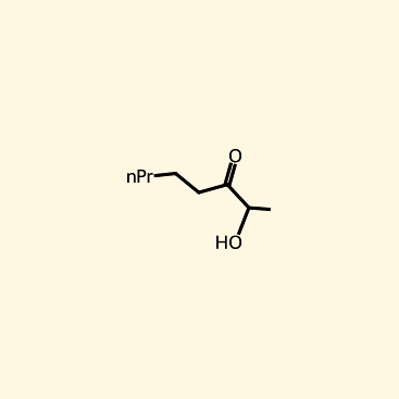 CCCCCC(=O)C(C)O